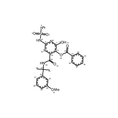 CCCS(=O)(=O)Nc1nc(O)c(OC(=O)c2ccccc2)c(C(=O)NC(C)(C)c2cccc(OC)c2)n1